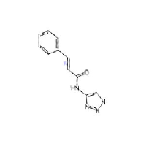 O=C(/C=C/c1ccccc1)NC1=C[N]N=N1